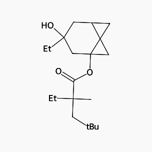 CCC1(O)CC2CC23CC3(OC(=O)C(C)(CC)CC(C)(C)C)C1